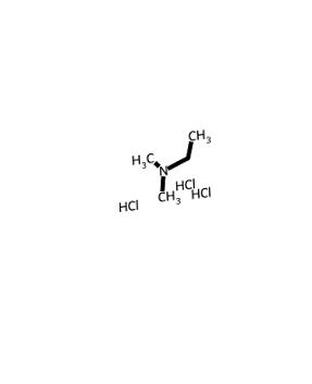 CCN(C)C.Cl.Cl.Cl